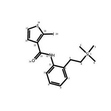 C[Si](C)(C)CCc1ccccc1NC(=O)c1ccsc1I